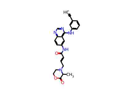 C#Cc1cccc(Nc2ncnc3ccc(NC(=O)C=CCN4CCOC(=O)C4C)cc23)c1